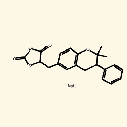 CC1(C)Oc2ccc(CC3SC(=O)NC3=O)cc2CC1c1ccccc1.[NaH]